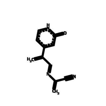 C=C(C#N)/N=C/C(=C)c1cc[nH]c(=O)c1